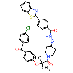 CC(C)(Oc1ccc(C(=O)c2ccc(Cl)cc2)cc1)C(=O)N1CCC(=NNC(=O)c2ccc(-c3nc4ccccc4s3)cc2)CC1